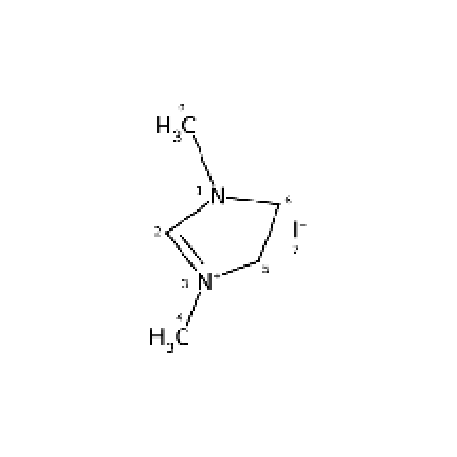 CN1C=[N+](C)CC1.[I-]